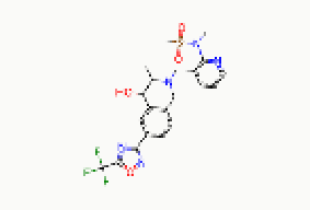 CC1C(O)c2cc(-c3noc(C(F)(F)F)n3)ccc2CN1Cc1cccnc1N(C)S(C)(=O)=O